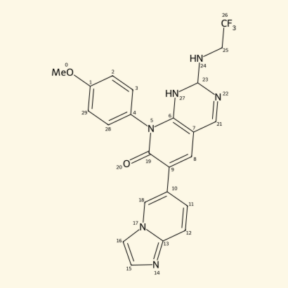 COc1ccc(-n2c3c(cc(-c4ccc5nccn5c4)c2=O)C=NC(NCC(F)(F)F)N3)cc1